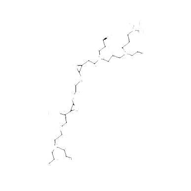 CCCN(CCCN(C)C)CCCN(CCC=O)CCC1OC1OCCOC1OC1C(C)CSCCN(CCC)CCC